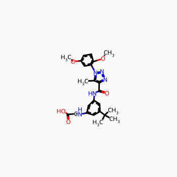 COc1ccc(OC)c(-n2nnc(C(=O)Nc3cc(NCC(=O)O)cc(C(C)(C)C)c3)c2C)c1